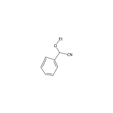 CCOC(C#N)c1ccccc1